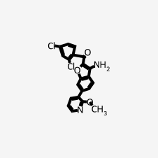 COc1ncccc1-c1ccc2c(N)c(C(=O)c3ccc(Cl)cc3Cl)oc2c1